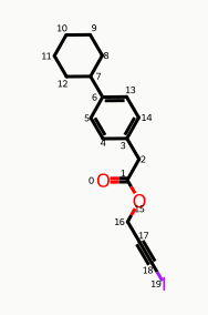 O=C(Cc1ccc(C2CCCCC2)cc1)OCC#CI